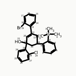 CS(C)(C)c1ccccc1C1CC(c2ccccc2Br)=CC(O)(c2ccccc2Cl)C1